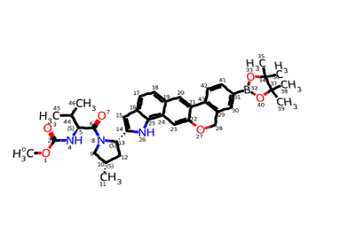 COC(=O)N[C@H](C(=O)N1C[C@@H](C)C[C@H]1c1cc2ccc3cc4c(cc3c2[nH]1)OCc1cc(B2OC(C)(C)C(C)(C)O2)ccc1-4)C(C)C